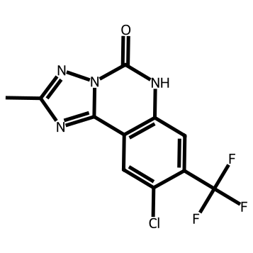 Cc1nc2c3cc(Cl)c(C(F)(F)F)cc3[nH]c(=O)n2n1